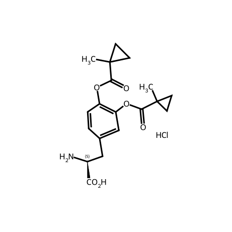 CC1(C(=O)Oc2ccc(C[C@H](N)C(=O)O)cc2OC(=O)C2(C)CC2)CC1.Cl